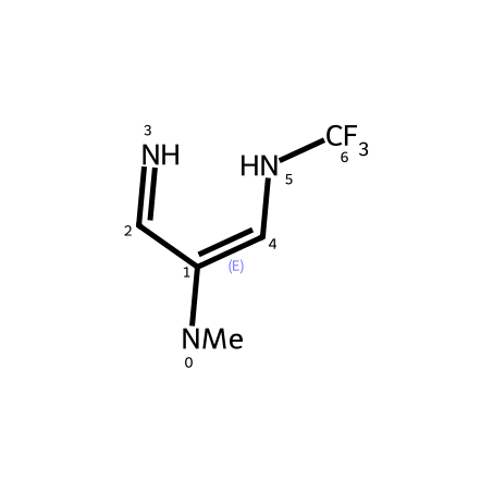 CN/C(C=N)=C/NC(F)(F)F